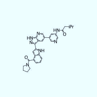 CC(C)CC(=O)Nc1cncc(-c2cnc3[nH]nc(-c4cc5c(C(=O)N6CCCC6)cccc5[nH]4)c3c2)c1